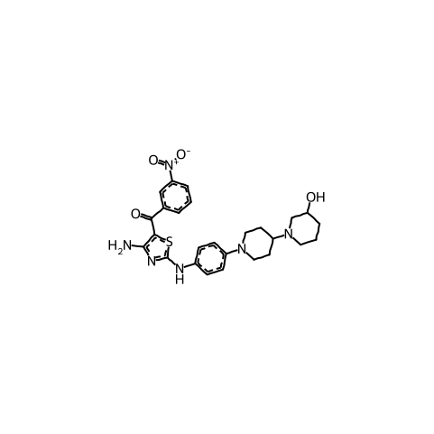 Nc1nc(Nc2ccc(N3CCC(N4CCCC(O)C4)CC3)cc2)sc1C(=O)c1cccc([N+](=O)[O-])c1